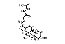 CC(O)NNC(=O)CC[C@@H](C)[C@H]1CC[C@H]2[C@@H]3[C@@H](O)C[C@@H]4C[C@H](O)CC[C@]4(C)[C@H]3CC[C@]12C